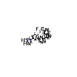 N=C/C(=C\S)C1=CCCN(c2ccnc(-c3cnc4cnc(C(F)(F)F)cn34)n2)C1